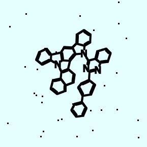 c1ccc(-c2ccc(-c3nc(-n4c5ccccc5c5cc6c7ccccc7n7c8c9ccccc9ccc8c(c54)c67)c4ccccc4n3)cc2)cc1